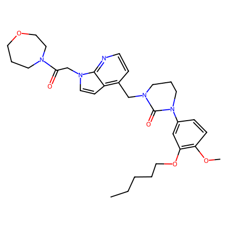 CCCCCOc1cc(N2CCCN(Cc3ccnc4c3ccn4CC(=O)N3CCCOCC3)C2=O)ccc1OC